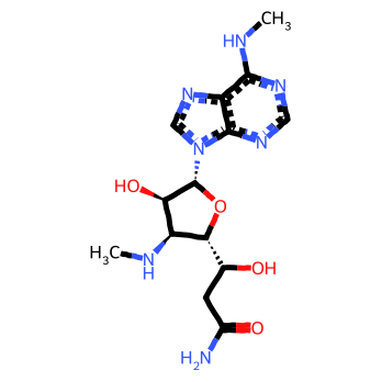 CNc1ncnc2c1ncn2[C@@H]1O[C@H](C(O)CC(N)=O)[C@@H](NC)[C@H]1O